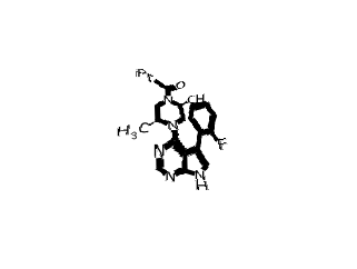 CC(C)C(=O)N1C[C@@H](C)N(c2ncnc3[nH]cc(-c4ccccc4F)c23)C[C@@H]1C